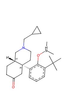 C[SiH](C)Oc1c(C(C)(C)C)cccc1[C@@]12CCN(CC3CC3)C[C@H]1CCC(=O)C2